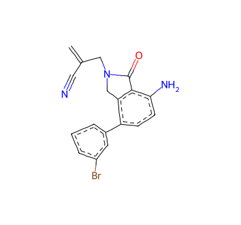 C=C(C#N)CN1Cc2c(-c3cccc(Br)c3)ccc(N)c2C1=O